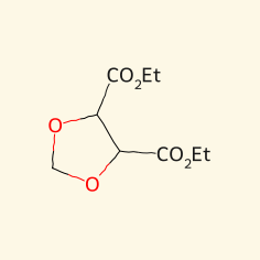 CCOC(=O)C1OCOC1C(=O)OCC